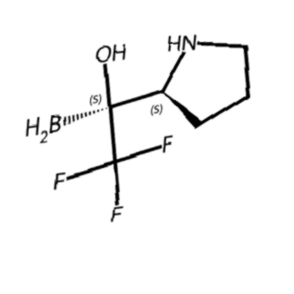 B[C@](O)([C@@H]1CCCN1)C(F)(F)F